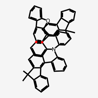 CC1(C)c2ccccc2-c2ccc(-c3ccccc3N(c3ccccc3-c3cccc4c3-c3ccccc3C4(C)C)c3ccccc3-c3cccc4c3oc3ccccc34)cc21